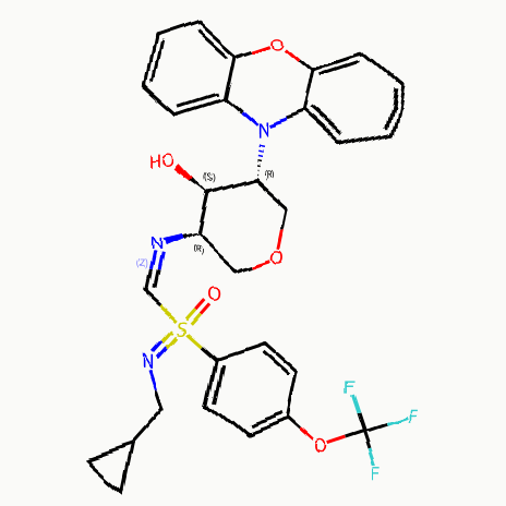 O=S(/C=N\[C@@H]1COC[C@@H](N2c3ccccc3Oc3ccccc32)[C@@H]1O)(=NCC1CC1)c1ccc(OC(F)(F)F)cc1